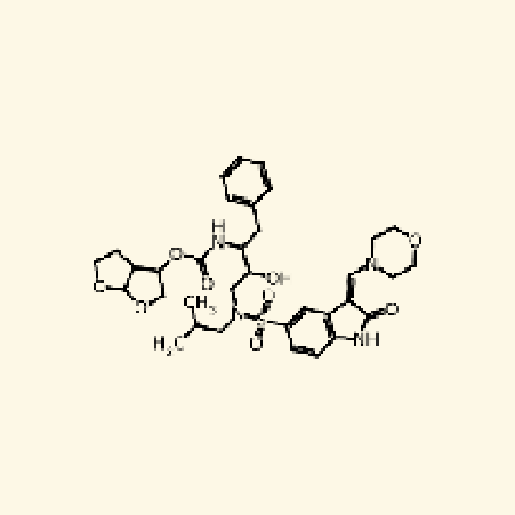 CC(C)CN(CC(O)C(Cc1ccccc1)NC(=O)OC1COC2OCCC12)S(=O)(=O)c1ccc2c(c1)C(=CN1CCOCC1)C(=O)N2